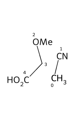 CC#N.COCC(=O)O